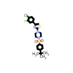 CC(C)(C)c1ccc(S(=O)(=O)N2CCN(c3nc(-c4ccc(Cl)c(F)c4)cs3)CC2)cc1